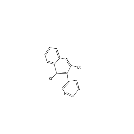 CCc1nc2ccccc2c(Cl)c1-c1cncnc1